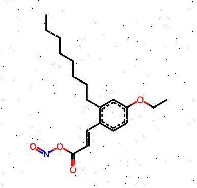 CCCCCCCCc1cc(OCC)ccc1/C=C/C(=O)ON=O